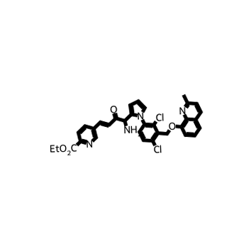 CCOC(=O)c1ccc(/C=C/C(=O)C(N)c2cccn2-c2ccc(Cl)c(COc3cccc4ccc(C)nc34)c2Cl)cn1